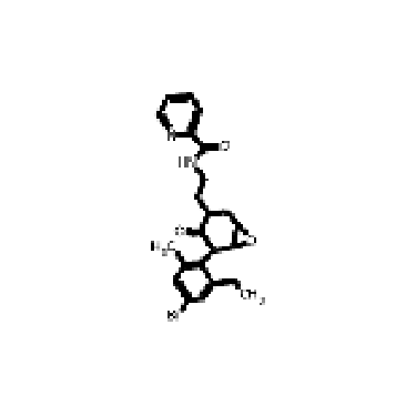 CCc1cc(Br)cc(C)c1C1C(=O)C(CCNC(=O)c2ccccn2)CC2OC21